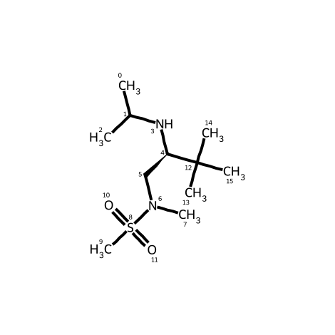 CC(C)N[C@H](CN(C)S(C)(=O)=O)C(C)(C)C